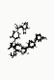 Cc1cn(C2CCN(C(=O)c3nnc[nH]3)CC2)c2nc3c(-c4ccc(-c5ccn(C)n5)nc4)cnn3c(N)c12